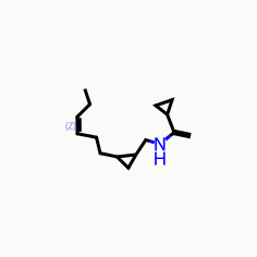 C=C(NCC1CC1CC/C=C\CC)C1CC1